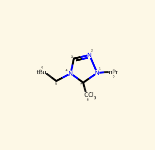 CCCN1N=CN(CC(C)(C)C)C1C(Cl)(Cl)Cl